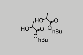 CCCCOC(=O)C(C)O.CCCCOC(=O)C(C)O